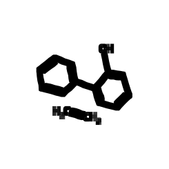 C=C.Oc1ccccc1-c1ccccc1